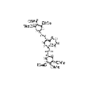 COc1cc(/C=C/c2ccc(/C=C/c3cc(OC)c(OC)c(OC)c3)c3ccccc23)cc(OC)c1OC